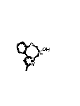 Cc1cc2n(n1)C[C@@H](O)COc1ccccc1-2